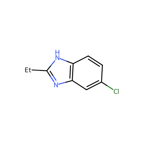 CCc1nc2cc(Cl)ccc2[nH]1